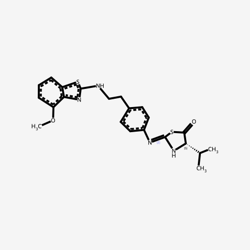 COc1cccc2sc(NCCc3ccc(/N=C4/N[C@@H](C(C)C)C(=O)S4)cc3)nc12